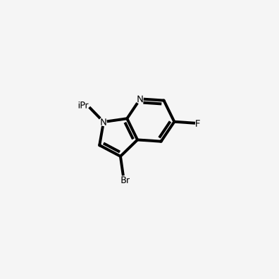 CC(C)n1cc(Br)c2cc(F)cnc21